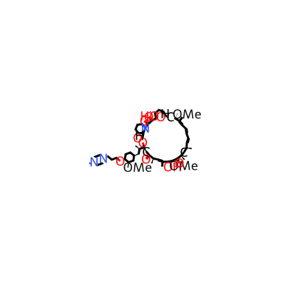 CO[C@H]1C[C@@H]2CC[C@@H](C)[C@@](O)(O2)C(=O)C(=O)N2CCCC[C@H]2C(=O)O[C@H]([C@H](C)C[C@@H]2CC[C@@H](OCCCN3CCN(C)CC3)[C@H](OC)C2)CC(=O)[C@H](C)/C=C(\C)[C@@H](O)[C@@H](OC)C(=O)[C@H](C)C[C@H](C)/C=C/C=C/C=C/1C